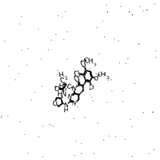 C=CC(=O)NC1COC[C@@H]1NC1=NCC2CC(c3c(Cl)c(OC)cc(OC)c3Cl)C(=O)N(C)C2=N1